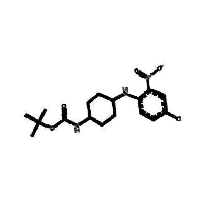 CC(C)(C)OC(=O)NC1CCC(Nc2ccc(Cl)cc2[N+](=O)[O-])CC1